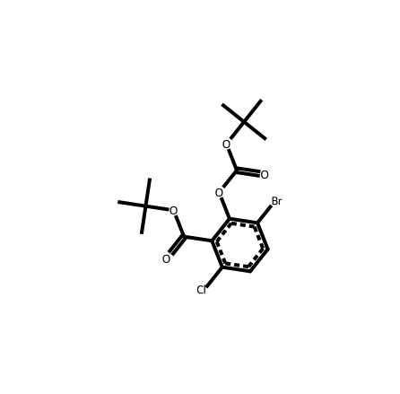 CC(C)(C)OC(=O)Oc1c(Br)ccc(Cl)c1C(=O)OC(C)(C)C